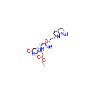 CCOC(=O)CC(N/C=C\C(=N)OCCCc1ccc2c(n1)NCCC2)c1ccc(OC)nc1